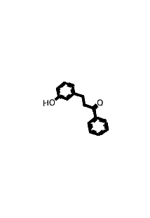 O=C(CCc1cccc(O)c1)c1ccccc1